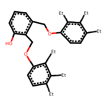 CCc1ccc(OCc2cccc(O)c2COc2ccc(CC)c(CC)c2CC)c(CC)c1CC